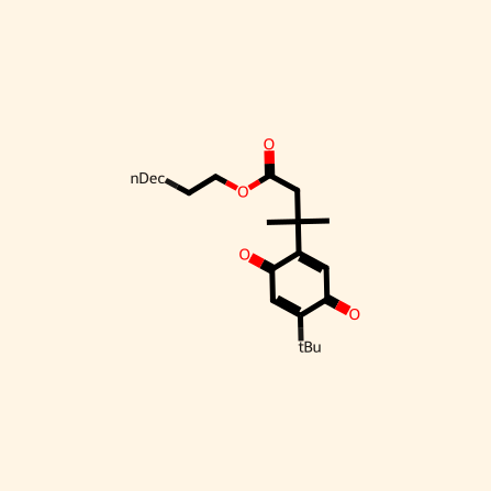 CCCCCCCCCCCCOC(=O)CC(C)(C)C1=CC(=O)C(C(C)(C)C)=CC1=O